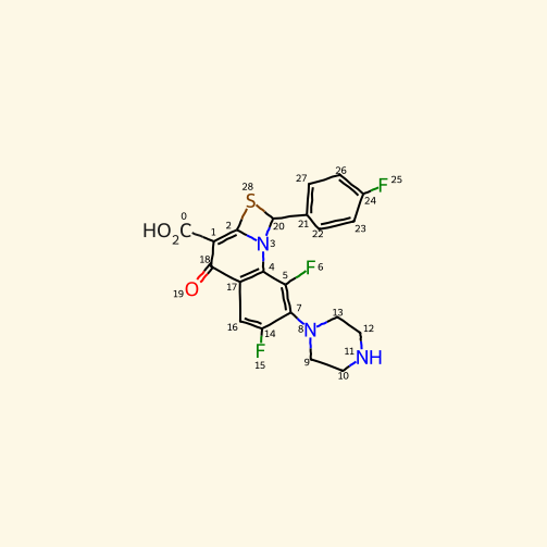 O=C(O)c1c2n(c3c(F)c(N4CCNCC4)c(F)cc3c1=O)C(c1ccc(F)cc1)S2